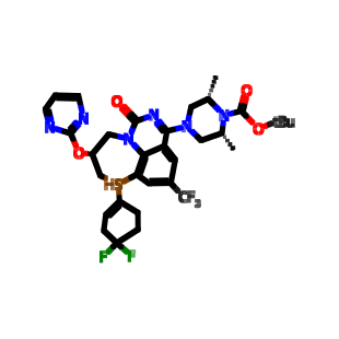 C[C@@H]1CN(c2nc(=O)n3c4c(cc(C(F)(F)F)cc24)[SH](C2=CCC(F)(F)CC2)C[C@@H](Oc2ncccn2)C3)C[C@H](C)N1C(=O)OC(C)(C)C